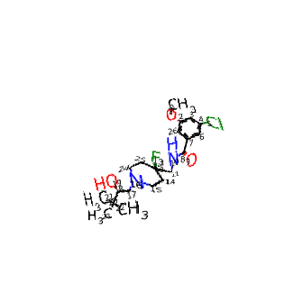 COc1cc(Cl)cc(C(=O)NCC2(F)CCN(C[C@@H](O)C(C)(C)C)CC2)c1